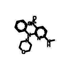 CNc1ccc([N+](=O)[O-])c(N(c2ccccc2)N2CCOCC2)n1